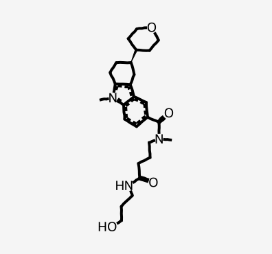 CN(CCCC(=O)NCCCO)C(=O)c1ccc2c(c1)c1c(n2C)CC[C@@H](C2CCOCC2)C1